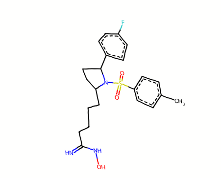 Cc1ccc(S(=O)(=O)N2C(CCCCC(=N)NO)CCC2c2ccc(F)cc2)cc1